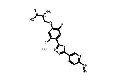 CC(C)Nc1ccc(-c2nnc(-c3cc(F)c(OC[C@H](N)[C@H](C)O)cc3Cl)s2)cn1.Cl